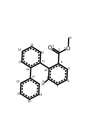 COC(=O)c1cccc(C)c1-c1ccccc1-c1ccccc1